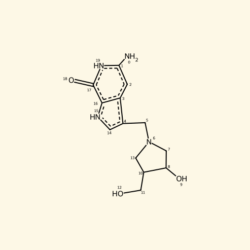 Nc1cc2c(CN3CC(O)C(CO)C3)c[nH]c2c(=O)[nH]1